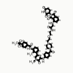 Cc1c(NC(=O)c2ccc(C(C)(C)C)cc2)cccc1-c1cn(C)c(=O)c(Nc2ccc(C(=O)N3CCN(CCOCCNC(=O)CNc4cccc5c4C(O)N(C4CCC(=O)NC4=O)C5=O)CC3)cc2)n1